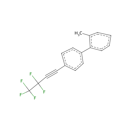 Cc1ccccc1-c1ccc(C#CC(F)(F)C(F)(F)F)cc1